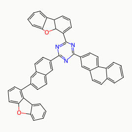 C1=CC2c3ccccc3OC2C(c2nc(-c3ccc4cc(-c5cccc6oc7ccccc7c56)ccc4c3)nc(-c3ccc4c(ccc5ccccc54)c3)n2)=C1